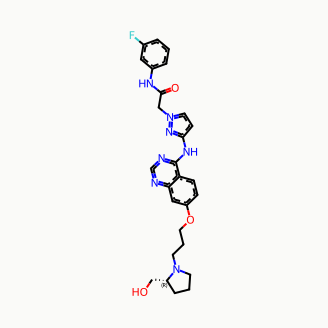 O=C(Cn1ccc(Nc2ncnc3cc(OCCCN4CCC[C@@H]4CO)ccc23)n1)Nc1cccc(F)c1